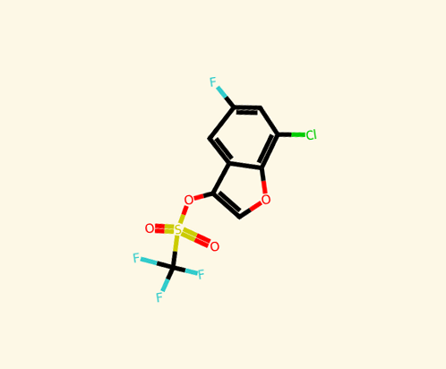 O=S(=O)(Oc1coc2c(Cl)cc(F)cc12)C(F)(F)F